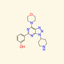 Oc1cccc(-c2nc(N3CCOCC3)c3nnn(C4CCNCC4)c3n2)c1